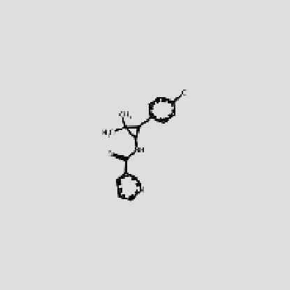 CC1(C)C(NC(=O)c2cccnc2)C1c1ccc(Cl)cc1